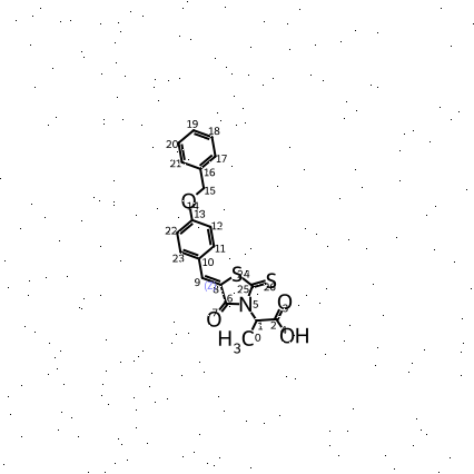 CC(C(=O)O)N1C(=O)/C(=C/c2ccc(OCc3ccccc3)cc2)SC1=S